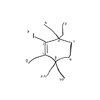 CC1=C(I)C(C)(C)CCC1(C)C